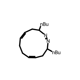 CCCCC1CC=CCCC=CCC(CCCC)N=N1